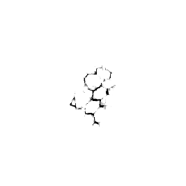 O=C(O)c1cn(C2CC2)c2c3c(c(F)cc2c1=O)N1CCNCC1CCO3